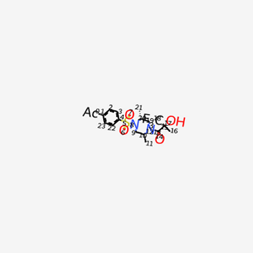 CC(=O)c1ccc(S(=O)(=O)N2C[C@H](C)N(C(=O)[C@@](C)(O)C(F)(F)F)C[C@H]2C)cc1